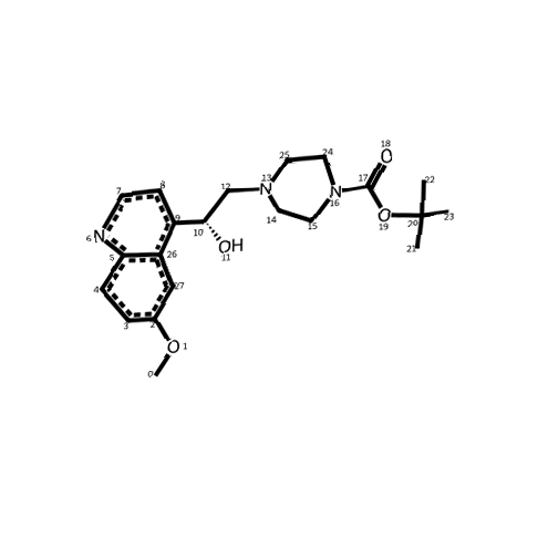 COc1ccc2nccc([C@@H](O)CN3CCN(C(=O)OC(C)(C)C)CC3)c2c1